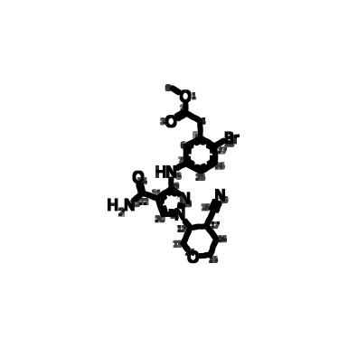 COC(=O)Cc1cc(Nc2nn(C3COCCC3C#N)cc2C(N)=O)ccc1Br